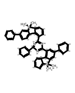 C[Si]1(C)c2cc(-c3ccccc3)ccc2-c2c(-c3nc(-c4ccccc4)nc(-c4cc(-c5ccccc5)cc5c4-c4ccccc4[Si]5(C)C)n3)cccc21